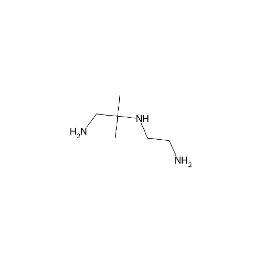 CC(C)(CN)NCCN